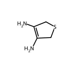 NC1=C(N)CSC1